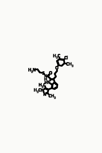 CC1=C(Cl)C(C)CC(OCCCc2c(C(=O)NSCCN)[nH]c3c(-c4c(C)nn(C)c4C)cccc23)=C1